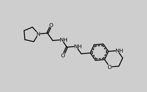 O=C(NCC(=O)N1CCCC1)NCc1ccc2c(c1)OCCN2